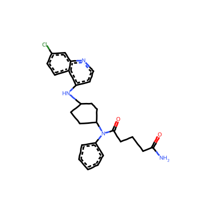 NC(=O)CCCC(=O)N(c1ccccc1)C1CCC(Nc2ccnc3cc(Cl)ccc23)CC1